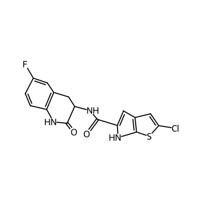 O=C(NC1Cc2cc(F)ccc2NC1=O)c1cc2cc(Cl)sc2[nH]1